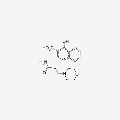 NC(=O)CCN1CCOCC1.O=C(O)c1ccc2ccccc2c1O